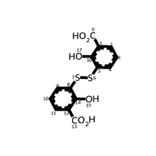 O=C(O)c1cccc(SSc2cccc(C(=O)O)c2O)c1O